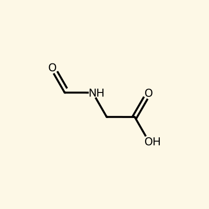 O=CNCC(=O)O